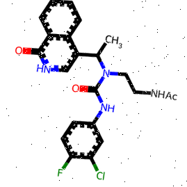 CC(=O)NCCN(C(=O)Nc1ccc(F)c(Cl)c1)C(C)c1c[nH]c(=O)c2ccccc12